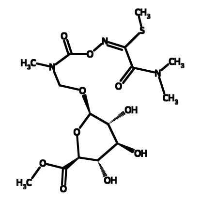 COC(=O)[C@H]1O[C@@H](OCN(C)C(=O)O/N=C(/SC)C(=O)N(C)C)[C@H](O)[C@@H](O)[C@@H]1O